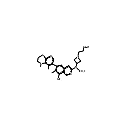 COCCN1CC(N(C(=O)O)c2cc3cc(-c4cnc5c(c4C)NCCO5)c(F)c(N)c3cn2)C1